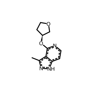 Cc1n[nH]c2ccnc(O[C@H]3CCOC3)c12